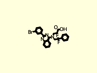 O=C(O)CCN(CC(F)(F)c1ccccc1)c1nc(-c2cccc(Br)c2)nc2ccccc12